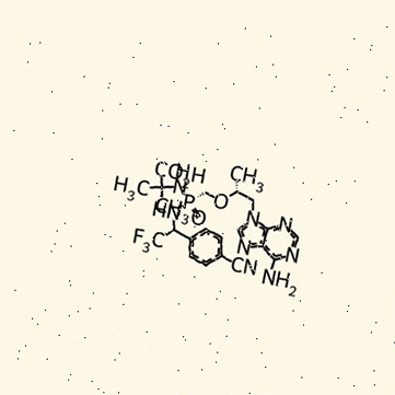 C[C@H](Cn1cnc2c(N)ncnc21)OC[P@](=O)(N[C@@H](c1ccc(C#N)cc1)C(F)(F)F)NC(C)(C)C(=O)O